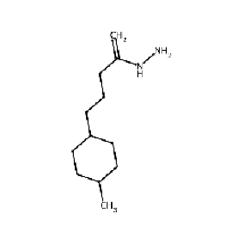 C=C(CCCC1CCC(C)CC1)NN